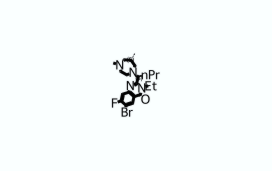 CCC[C@@H](c1nc2cc(F)c(Br)cc2c(=O)n1CC)N1CCN(C)C[C@H](C)C1